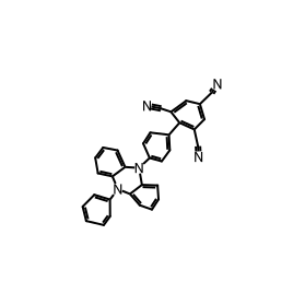 N#Cc1cc(C#N)c(-c2ccc(N3c4ccccc4N(c4ccccc4)c4ccccc43)cc2)c(C#N)c1